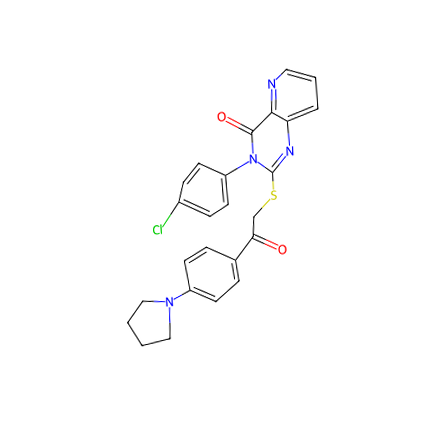 O=C(CSc1nc2cccnc2c(=O)n1-c1ccc(Cl)cc1)c1ccc(N2CCCC2)cc1